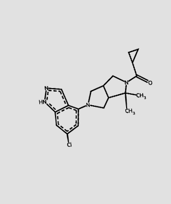 CC1(C)C2CN(c3cc(Cl)cc4[nH]ncc34)CC2CN1C(=O)C1CC1